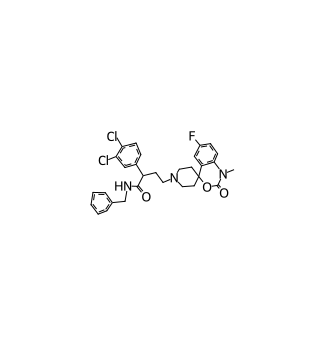 CN1C(=O)OC2(CCN(CCC(C(=O)NCc3ccccc3)c3ccc(Cl)c(Cl)c3)CC2)c2cc(F)ccc21